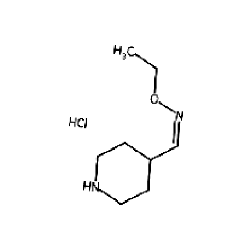 CCO/N=C\C1CCNCC1.Cl